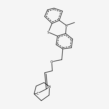 CN1c2ccccc2Sc2cc(COCC=C3CC4CCN3CC4)ccc21